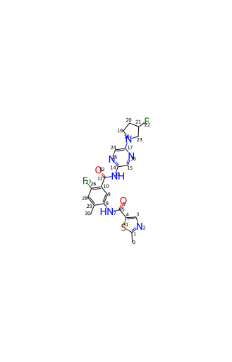 Cc1ncc(C(=O)Nc2cc(C(=O)Nc3cnc(N4CC[C@@H](F)C4)cn3)c(F)cc2C)s1